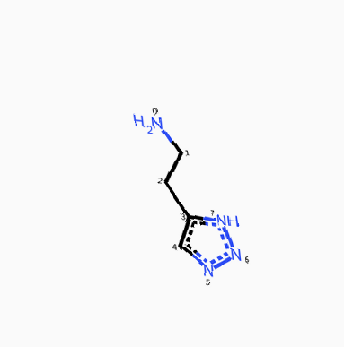 NCCc1[c]nn[nH]1